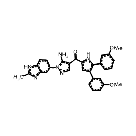 COc1cccc(-c2cc(C(=O)c3cnn(-c4ccc5[nH]c(C)nc5c4)c3N)[nH]c2-c2cccc(OC)c2)c1